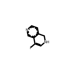 IC1=CNCc2ccncc21